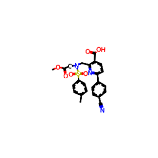 COC(=O)CN(Cc1nc(-c2ccc(C#N)cc2)ccc1C(=O)O)S(=O)(=O)c1ccc(C)cc1